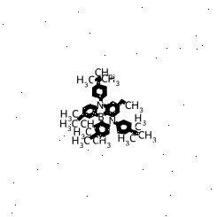 CCc1cc2c3c(c1)N(c1ccc(C(C)(C)C)cc1)c1ccc(C(C)(C)C)cc1B3c1cc(C(C)(C)C)ccc1N2c1ccc(C(C)(C)C)cc1